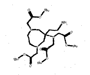 CC(C)(C)OC(=O)CN1CCN(CC(=O)OC(C)(C)C)CC(CCN)(N(CC(=O)OC(C)(C)C)CC(=O)OC(C)(C)C)C1